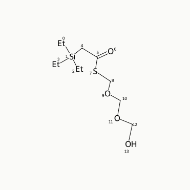 CC[Si](CC)(CC)CC(=O)SCOCOCO